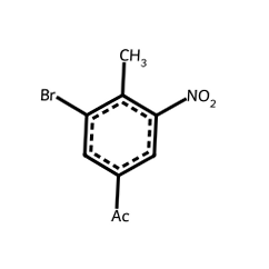 CC(=O)c1cc(Br)c(C)c([N+](=O)[O-])c1